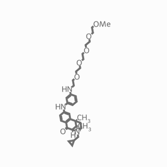 COCCOCCOCCOCCOCCNc1cccc(Nc2ccc3c(c2)[C@]2(C)CCN(CC4CC4)[C@H](C3=O)[C@@H]2C)c1